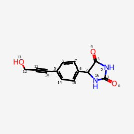 O=C1NC(=O)C(c2ccc(C#CCO)cc2)N1